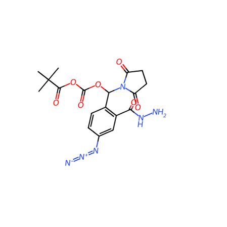 CC(C)(C)C(=O)OC(=O)OC(c1ccc(N=[N+]=[N-])cc1C(=O)NN)N1C(=O)CCC1=O